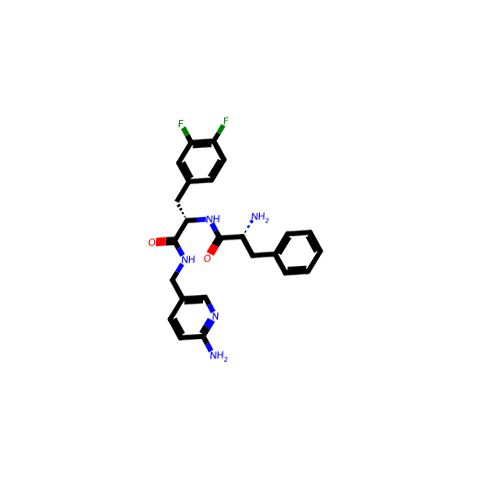 Nc1ccc(CNC(=O)[C@H](Cc2ccc(F)c(F)c2)NC(=O)[C@H](N)Cc2ccccc2)cn1